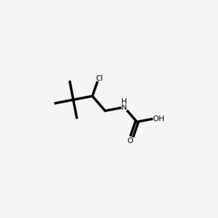 CC(C)(C)C(Cl)CNC(=O)O